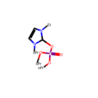 CCCOP(=O)(OCCC)OC1N(CC)C=CN1CCC